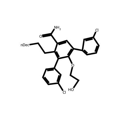 CCCCCCCCCCCCc1c(C(N)=O)cc(-c2cccc(Cl)c2)c(OCCO)c1-c1cccc(Cl)c1